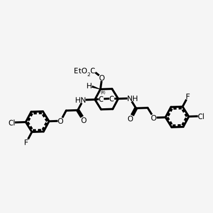 CCOC(=O)O[C@@H]1CC2(NC(=O)COc3ccc(Cl)c(F)c3)CCC1(NC(=O)COc1ccc(Cl)c(F)c1)CC2